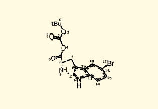 CC(C)(C)OC(=O)OC(=O)[C@@H](N)Cc1c[nH]c2ccc(Br)cc12